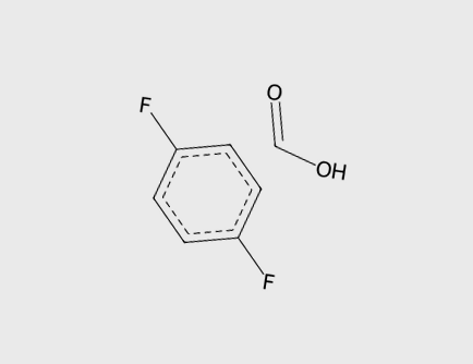 Fc1ccc(F)cc1.O=CO